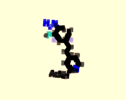 C=C(N)/C(F)=C\C(=C/C)CCc1ccnc(NC(C)=O)c1